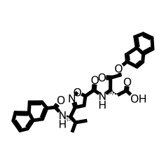 CC(C)[C@H](NC(=O)c1ccc2ccccc2c1)C1=NOC(C(=O)N[C@@H](CC(=O)O)C(=O)COc2ccc3ccccc3c2)C1